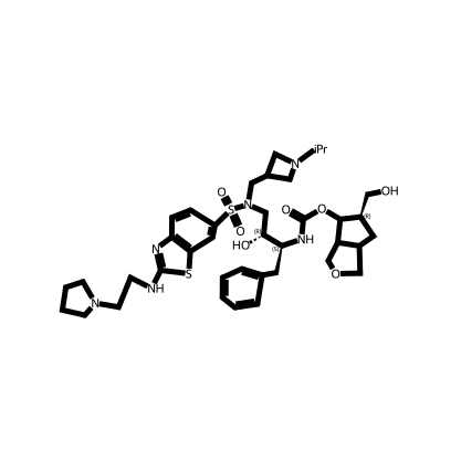 CC(C)N1CC(CN(C[C@@H](O)[C@H](Cc2ccccc2)NC(=O)OC2C3COCC3C[C@@H]2CO)S(=O)(=O)c2ccc3nc(NCCN4CCCC4)sc3c2)C1